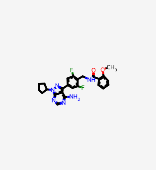 COc1ccccc1C(=O)NCc1c(F)cc(-c2nn(C3CCCC3)c3ncnc(N)c23)cc1F